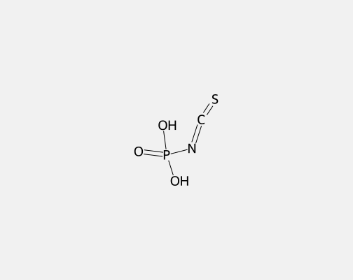 O=P(O)(O)N=C=S